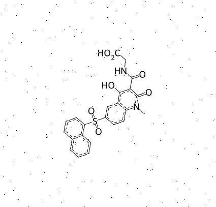 Cn1c(=O)c(C(=O)NCC(=O)O)c(O)c2cc(S(=O)(=O)c3cccc4ccccc34)ccc21